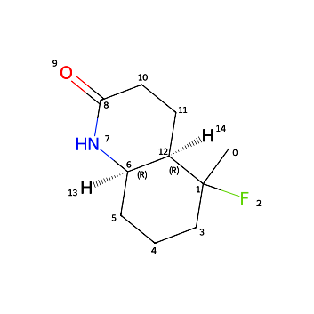 CC1(F)CCC[C@H]2NC(=O)CC[C@H]21